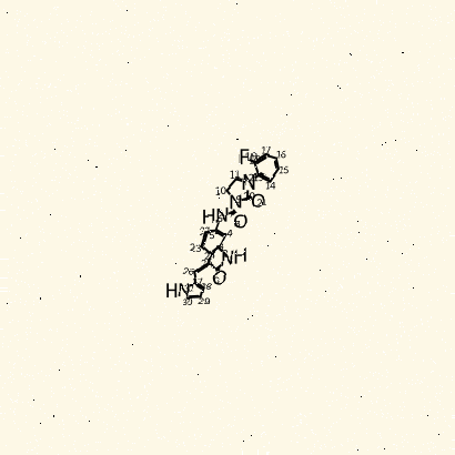 O=C1Nc2cc(NC(=O)N3CCN(c4ccccc4F)C3=O)ccc2C1=Cc1ccc[nH]1